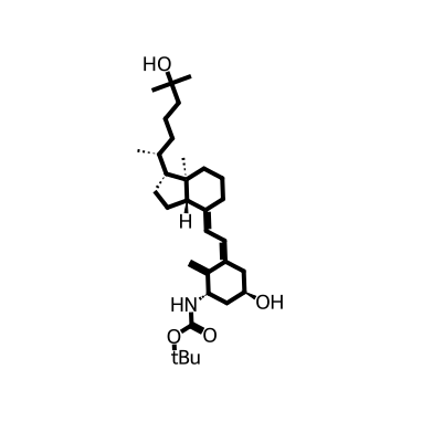 C=C1/C(=C\C=C2/CCC[C@]3(C)[C@@H]([C@H](C)CCCC(C)(C)O)CC[C@@H]23)C[C@@H](O)C[C@@H]1NC(=O)OC(C)(C)C